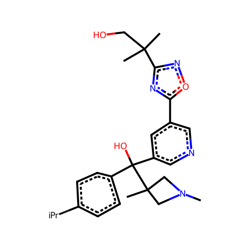 CC(C)c1ccc(C(O)(c2cncc(-c3nc(C(C)(C)CO)no3)c2)C2(C)CN(C)C2)cc1